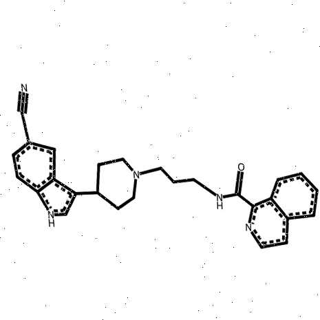 N#Cc1ccc2[nH]cc(C3CCN(CCCNC(=O)c4nccc5ccccc45)CC3)c2c1